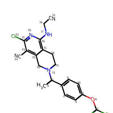 CC(c1ccc(OC(F)F)cc1)N1CCc2c(NCC#N)nc(Cl)c(C#N)c2C1